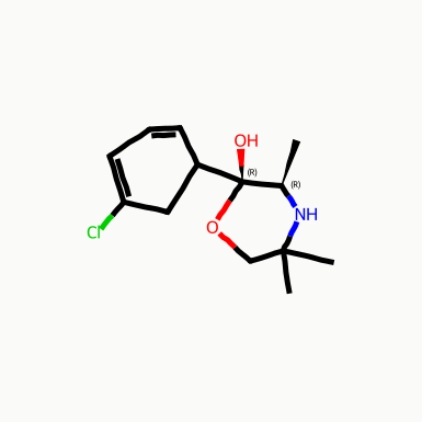 C[C@H]1NC(C)(C)CO[C@]1(O)C1C=CC=C(Cl)C1